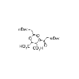 CCCCCCCCCCCC(=O)OC(C(=O)O)C(OC(=O)CCCCCCCCCCC)C(=O)O